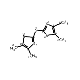 Cc1nc(Sc2nc(C)c(C)s2)sc1C